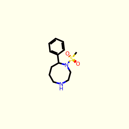 CS(=O)(=O)N1CCNCCCC1c1ccccc1